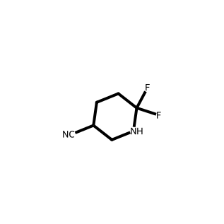 N#CC1CCC(F)(F)NC1